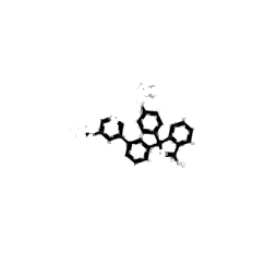 COc1cncc(-c2cccc(C3(c4ccc(OS(C)(=O)=O)cc4)N=C(N)c4ccccc43)c2)c1